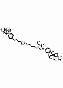 CC1(C)OCc2cc([C@@H]3CN(CCCCCCOCCCCc4ccc(S(N)(=O)=O)cc4)C(=O)O3)ccc2O1